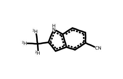 [2H]C([2H])([2H])c1cc2cc(C#N)ccc2[nH]1